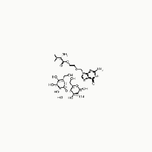 CC(C)[C@H](N)C(=O)OCCOCn1cnc2c(=O)[nH]c(N)nc21.Cl.OC[C@H]1O[C@@H](O[C@H]2[C@H](O)[C@@H](O)[C@H](O)O[C@@H]2CO)[C@H](O)[C@@H](O)[C@H]1O